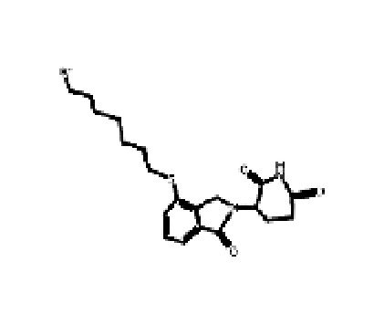 O=C1CCC(N2Cc3c(SCCCCCCCBr)cccc3C2=O)C(=O)N1